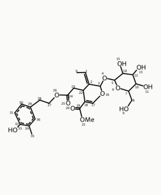 C/C=C1/C(OC2OC(CO)C(O)C(O)C2O)OC=C(C(=O)OC)C1CC(=O)OCCc1ccc(O)c(C)c1